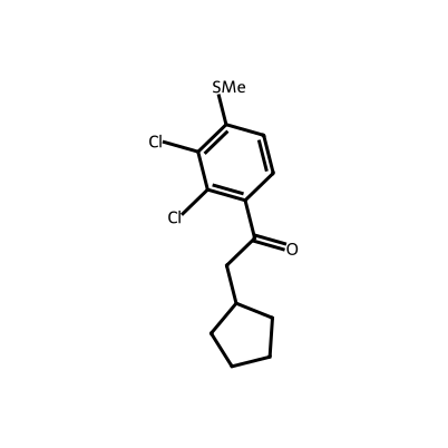 CSc1ccc(C(=O)CC2CCCC2)c(Cl)c1Cl